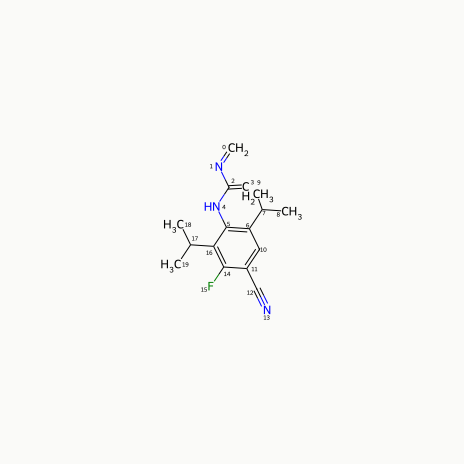 C=NC(=C)Nc1c(C(C)C)cc(C#N)c(F)c1C(C)C